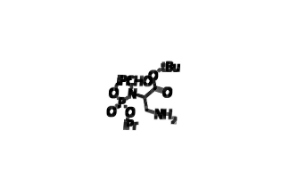 CC(C)OP(=O)(OC(C)C)N(C=O)C(CN)C(=O)OC(C)(C)C